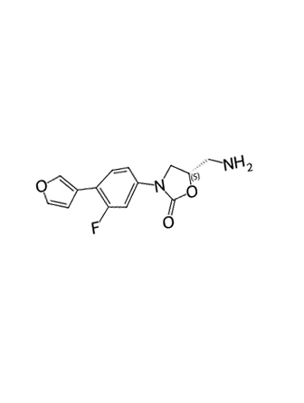 NC[C@H]1CN(c2ccc(-c3ccoc3)c(F)c2)C(=O)O1